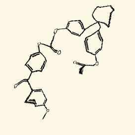 COc1ccc(C(=O)c2ccc(OC(=O)Oc3ccc(C4(c5ccc(OC(C)=O)cc5)CCCCC4)cc3)cc2)cc1